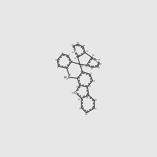 c1ccc2c(c1)[SiH2]c1c(ccc3c1oc1ccccc13)C21c2ccccc2-c2ccccc21